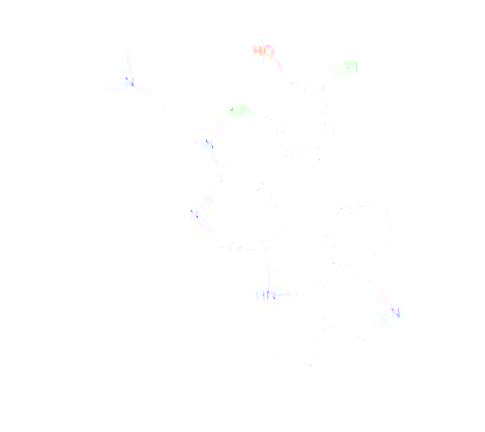 CCc1cnc2ccc(-c3cc(Cl)c(O)c(Cl)c3)cc2c1Nc1ccc(N2CCC(N(C)C)C2)nc1